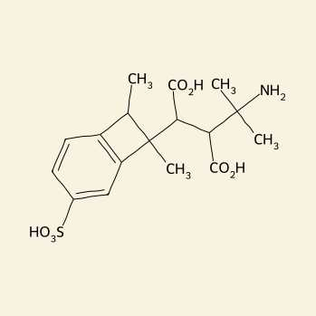 CC1c2ccc(S(=O)(=O)O)cc2C1(C)C(C(=O)O)C(C(=O)O)C(C)(C)N